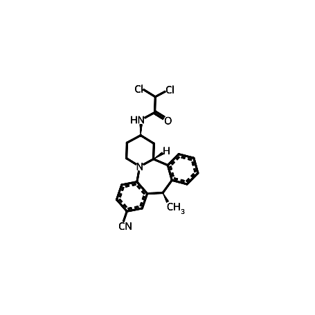 C[C@@H]1c2ccccc2[C@H]2C[C@H](NC(=O)C(Cl)Cl)CCN2c2ccc(C#N)cc21